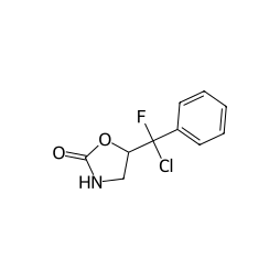 O=C1NCC(C(F)(Cl)c2ccccc2)O1